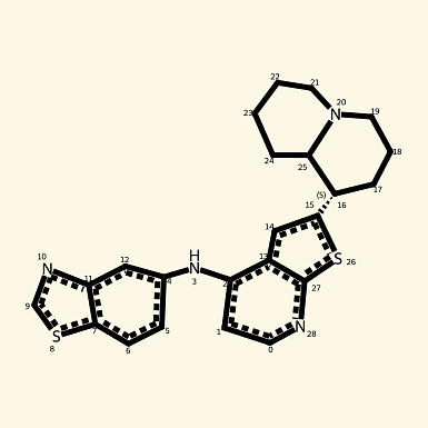 c1cc(Nc2ccc3scnc3c2)c2cc([C@H]3CCCN4CCCCC34)sc2n1